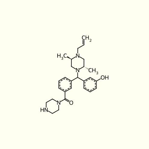 C=CCN1C[C@H](C)N(C(c2cccc(O)c2)c2cccc(C(=O)N3CCNCC3)c2)C[C@H]1C